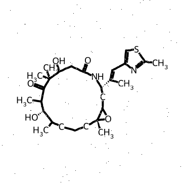 C/C(=C\c1csc(C)n1)[C@@H]1CC2O[C@]2(C)CCCC(C)[C@H](O)C(C)C(=O)C(C)(C)C(O)CC(=O)N1